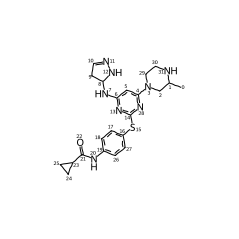 CC1CN(c2cc(NC3CC=NN3)nc(Sc3ccc(NC(=O)C4CC4)cc3)n2)CCN1